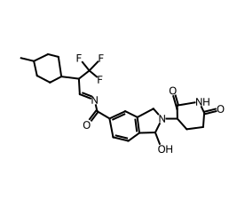 CC1CCC(C(/C=N/C(=O)c2ccc3c(c2)CN(C2CCC(=O)NC2=O)C3O)C(F)(F)F)CC1